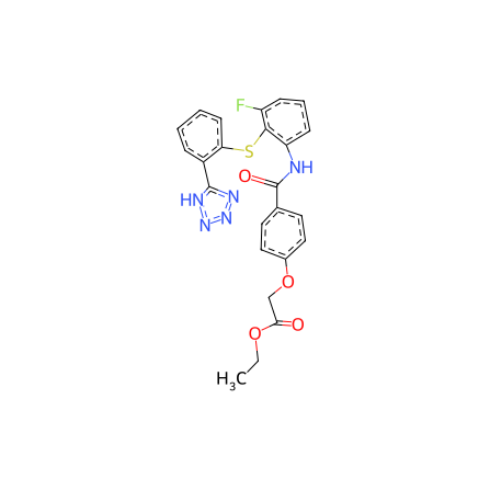 CCOC(=O)COc1ccc(C(=O)Nc2cccc(F)c2Sc2ccccc2-c2nnn[nH]2)cc1